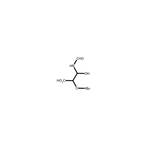 CC(C)(C)OC(C(=O)O)C(O)NC=O